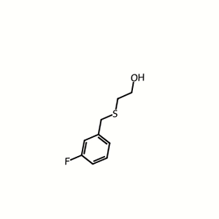 OCCSCc1cccc(F)c1